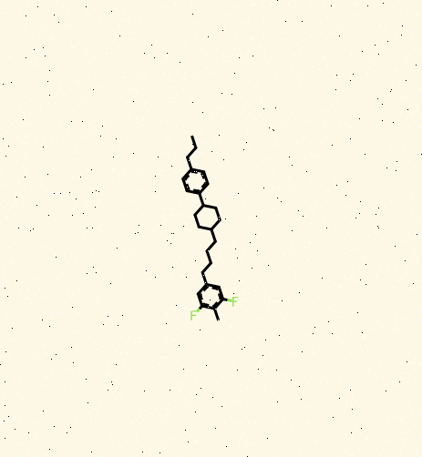 CCCc1ccc(C2CCC(CCCCc3cc(F)c(C)c(F)c3)CC2)cc1